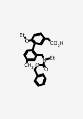 CCOc1ccc(CC(=O)O)cc1-c1ccc(C)cc1CN(CC)C(=O)OCc1ccccc1